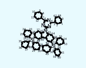 c1ccc(-c2nc(-c3ccccc3)nc(-n3c4ccc([Si](c5ccccc5)(c5ccccc5)c5ccccc5)cc4c4cc([Si](c5ccccc5)(c5ccccc5)c5ccccc5)ccc43)n2)cc1